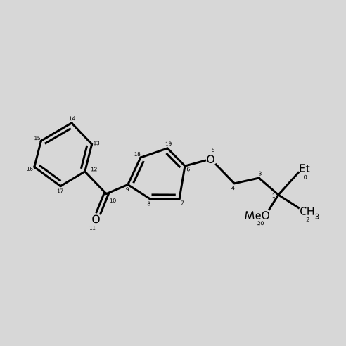 CCC(C)(CCOc1ccc(C(=O)c2ccccc2)cc1)OC